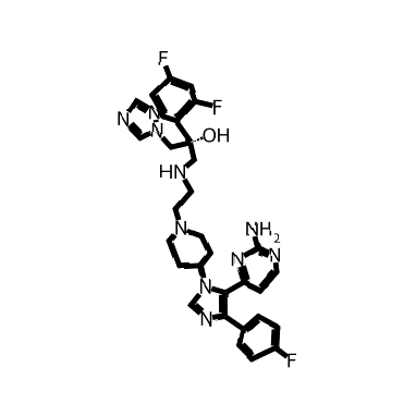 Nc1nccc(-c2c(-c3ccc(F)cc3)ncn2C2CCN(CCNC[C@@](O)(Cn3cncn3)c3ccc(F)cc3F)CC2)n1